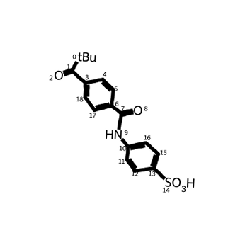 CC(C)(C)C(=O)c1ccc(C(=O)Nc2ccc(S(=O)(=O)O)cc2)cc1